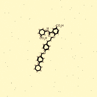 O=C(O)c1ccc(OCCCc2ccc(OCc3ccc(C4CCCCC4)cc3)cc2)c(C(=O)NC2CCCC(C(=O)O)C2)c1